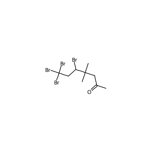 CC(=O)CC(C)(C)C(Br)CC(Br)(Br)Br